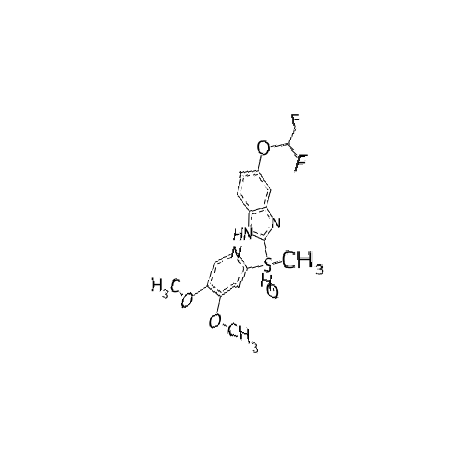 COc1cnc([SH](C)(=O)c2nc3cc(OC(F)F)ccc3[nH]2)cc1OC